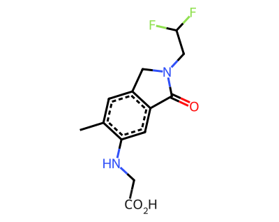 Cc1cc2c(cc1NCC(=O)O)C(=O)N(CC(F)F)C2